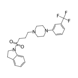 O=S(=O)(CCCN1CCN(c2cccc(C(F)(F)F)c2)CC1)N1CCc2ccccc21